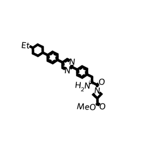 CCC1CCC(c2ccc(-c3cnc(-c4ccc(C[C@H](N)C(=O)N5CC(C(=O)OC)C5)cc4)nc3)cc2)CC1